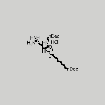 CCCCCCCCCCCCCCCCCCNC(=O)NC(CCCNC(=N)N)C(=O)NCCCCCCCCCCCC.Cl